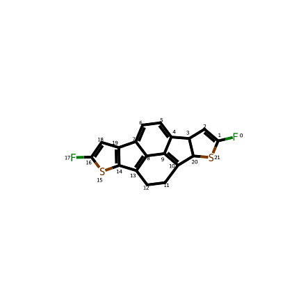 FC1=CC2c3ccc4c5c3=C(CCC=5c3sc(F)cc3-4)C2S1